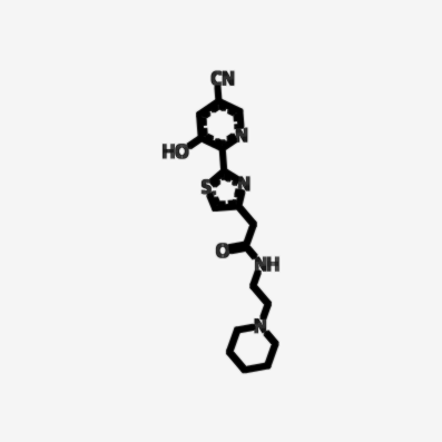 N#Cc1cnc(-c2nc(CC(=O)NCCN3CCCCC3)cs2)c(O)c1